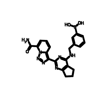 NC(=O)c1cccc2c(-c3nc4c(c(NCc5cccc(B(O)O)c5)n3)CCC4)nnn12